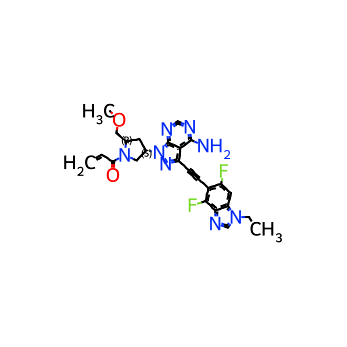 C=CC(=O)N1C[C@@H](n2nc(C#Cc3c(F)cc4c(ncn4CC)c3F)c3c(N)ncnc32)C[C@@H]1COC